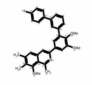 COc1cc(-c2cc3cc(C)c(C)c(OC)c3c(C)n2)cc(-c2cccc(-c3ccc(F)cc3)c2)c1OC